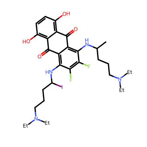 CCN(CC)CCCC(C)Nc1c(F)c(F)c(NC(I)CCCN(CC)CC)c2c1C(=O)c1c(O)ccc(O)c1C2=O